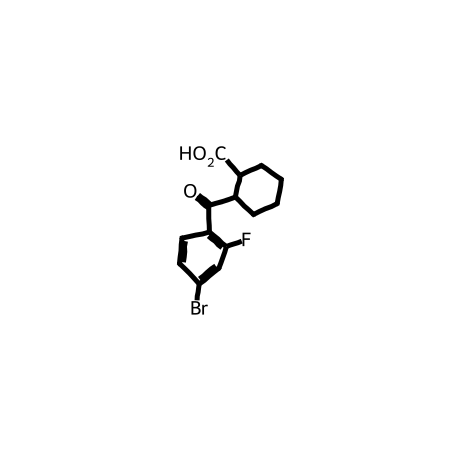 O=C(O)C1CCCCC1C(=O)c1ccc(Br)cc1F